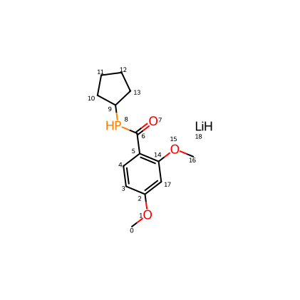 COc1ccc(C(=O)PC2CCCC2)c(OC)c1.[LiH]